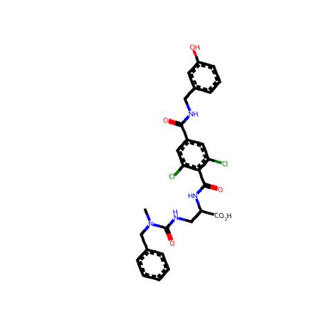 CN(Cc1ccccc1)C(=O)NCC(NC(=O)c1c(Cl)cc(C(=O)NCc2cccc(O)c2)cc1Cl)C(=O)O